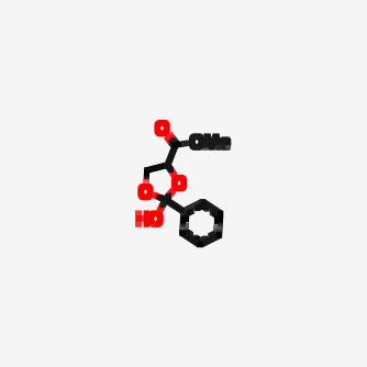 COC(=O)C1COC(O)(c2ccccc2)O1